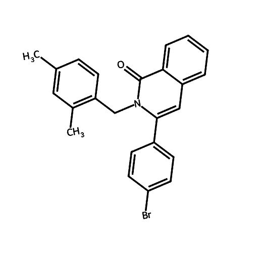 Cc1ccc(Cn2c(-c3ccc(Br)cc3)cc3ccccc3c2=O)c(C)c1